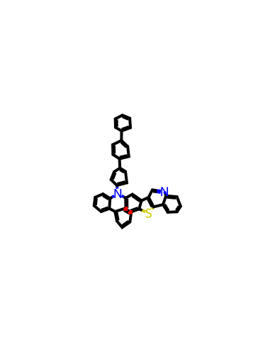 c1ccc(-c2ccc(-c3ccc(N(c4ccc5sc6c7ccccc7ncc6c5c4)c4ccccc4-c4ccccc4)cc3)cc2)cc1